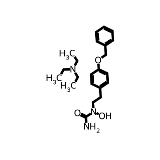 CCN(CC)CC.NC(=O)N(O)CCc1ccc(OCc2ccccc2)cc1